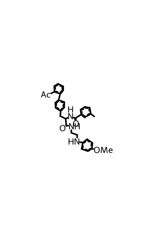 COc1ccc(NCCNC(=O)C(Cc2ccc(-c3ccccc3C(C)=O)cc2)NC(=O)c2cccc(C)c2)cc1